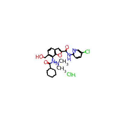 CN(C)N(C(=O)C1CCCCC1)c1c(CO)ccc2cc(C(=O)Nc3ccc(Cl)cn3)oc12.Cl